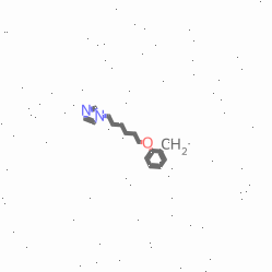 [CH2]c1ccccc1OCCCCCCn1ccnc1